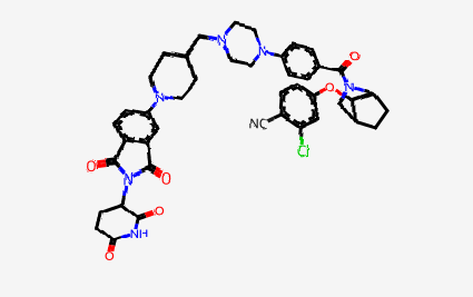 N#Cc1ccc(OC2C3CCC2N(C(=O)c2ccc(N4CCN(CC5CCN(c6ccc7c(c6)C(=O)N(C6CCC(=O)NC6=O)C7=O)CC5)CC4)cc2)C3)cc1Cl